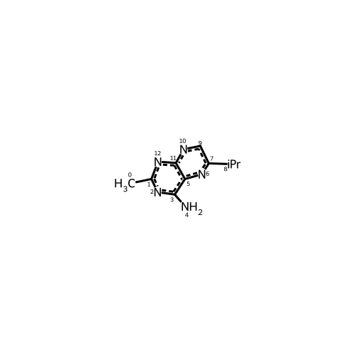 Cc1nc(N)c2nc(C(C)C)cnc2n1